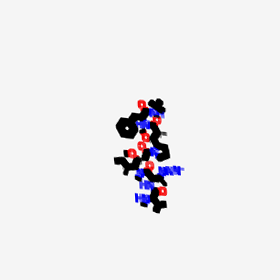 CC[C@H](C)[C@@H]([C@@H](CC(=O)N1CCCC1[C@H](OC)[C@@H](C)C(=O)NC(Cc1ccccc1)C(=O)NC(C)(C)C)OC)N(C)C(=O)[C@@H](NC(=O)C(NC)C(C)C)[C@H](C)N=[N+]=[N-]